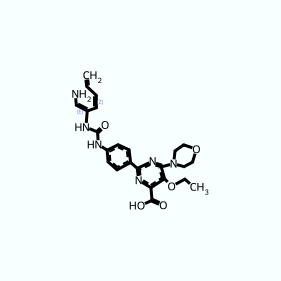 C=C/C=C\C(=C/N)NC(=O)Nc1ccc(-c2nc(C(=O)O)c(OCC)c(N3CCOCC3)n2)cc1